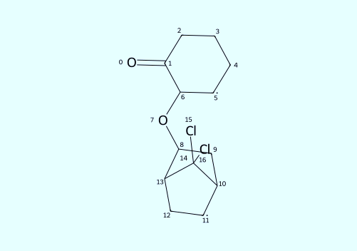 O=C1CCC[CH]C1OC1CC2[CH]CC1C2(Cl)Cl